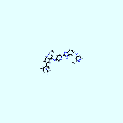 Cc1cc(Nc2ccc3nc(-c4ccc(Nc5cc(C)nc6ccc(C7=C[C@@H]8CC[C@H](C7)N8C)cc56)cn4)[nH]c3c2)ccn1